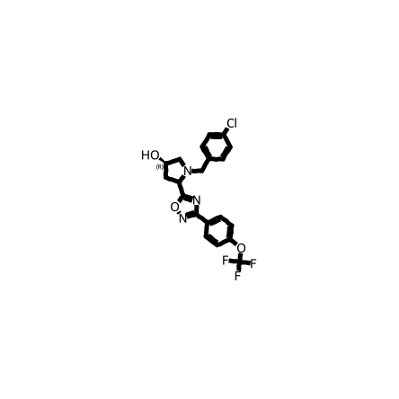 O[C@@H]1CC(c2nc(-c3ccc(OC(F)(F)F)cc3)no2)N(Cc2ccc(Cl)cc2)C1